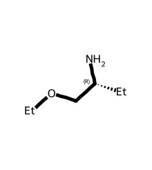 CCOC[C@H](N)CC